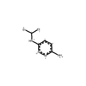 CCC(CC)Nc1ccc(N)nn1